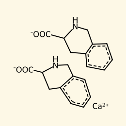 O=C([O-])C1Cc2ccccc2CN1.O=C([O-])C1Cc2ccccc2CN1.[Ca+2]